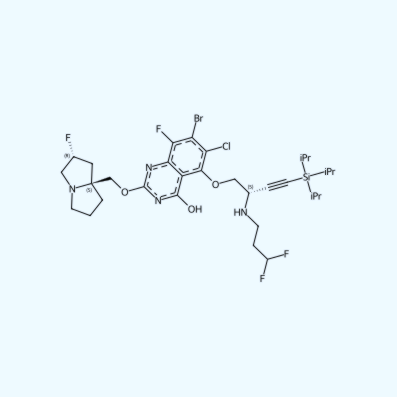 CC(C)[Si](C#C[C@@H](COc1c(Cl)c(Br)c(F)c2nc(OC[C@@]34CCCN3C[C@H](F)C4)nc(O)c12)NCCC(F)F)(C(C)C)C(C)C